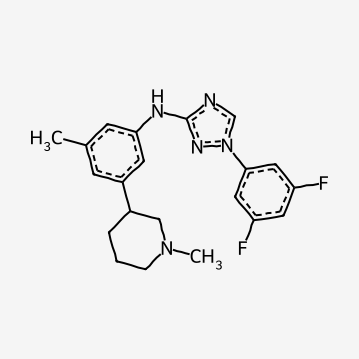 Cc1cc(Nc2ncn(-c3cc(F)cc(F)c3)n2)cc(C2CCCN(C)C2)c1